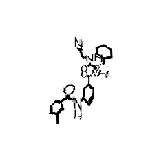 Cc1cccc(C(=O)Nc2cccc(C(=O)N[C@@H](CC3CCCCC3)C(=O)NCC#N)c2)c1